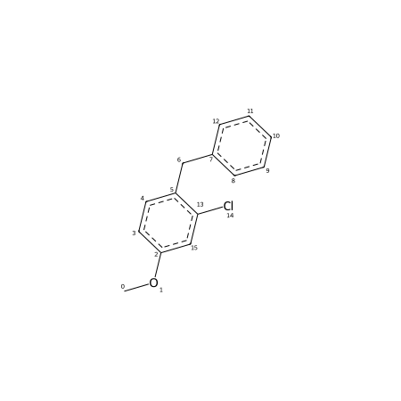 COc1ccc(Cc2ccccc2)c(Cl)c1